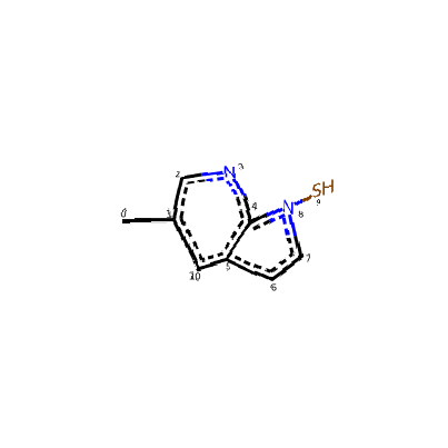 Cc1cnc2c(ccn2S)c1